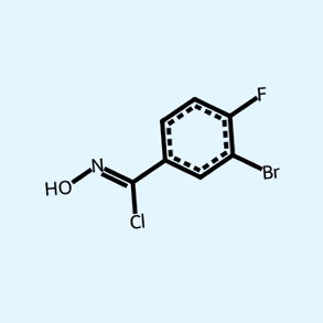 ON=C(Cl)c1ccc(F)c(Br)c1